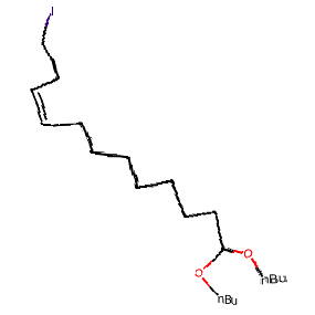 CCCCOC(CCCCCCC/C=C\CCI)OCCCC